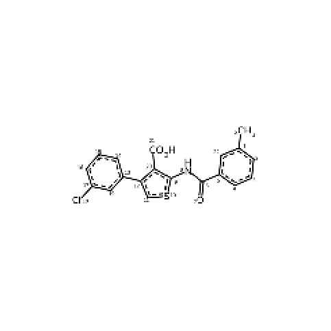 Cc1cccc(C(=O)Nc2scc(-c3cccc(Cl)c3)c2C(=O)O)c1